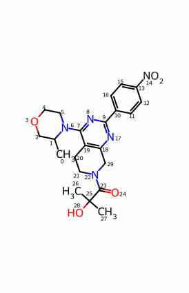 CC1COCCN1c1nc(-c2ccc([N+](=O)[O-])cc2)nc2c1CCN(C(=O)C(C)(C)O)C2